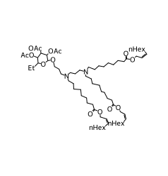 CCCCCC/C=C\COC(=O)CCCCCCCCN(CCCCCCCCC(=O)OC/C=C\CCCCCC)CCCN(CCCCCCCCC(=O)OC/C=C\CCCCCC)CCCOC1OC(CC)C(OC(C)=O)C(OC(C)=O)C1OC(C)=O